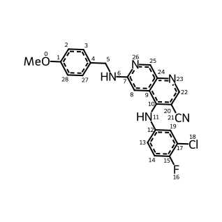 COc1ccc(CNc2cc3c(Nc4ccc(F)c(Cl)c4)c(C#N)cnc3cn2)cc1